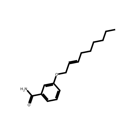 CCCCCC/C=C/COc1cccc(C(N)=O)c1